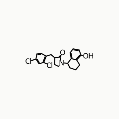 O=C1C(Cc2ccc(Cl)cc2Cl)CCN1C1CCCc2c(O)cccc21